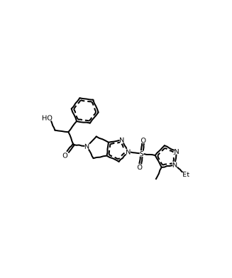 CCn1ncc(S(=O)(=O)n2cc3c(n2)CN(C(=O)C(CO)c2ccccc2)C3)c1C